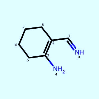 N=CC1=C(N)CCCC1